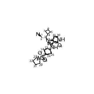 N#CC[C@H](C1CCC1)n1nc(Nc2ccc(S(=O)(=O)N3CCCC3)cc2)c2c(=O)[nH]ccc21